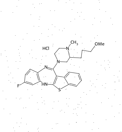 COCCCC1CN(C2=Nc3ccc(F)cc3Nc3sc4ccccc4c32)CCN1C.Cl